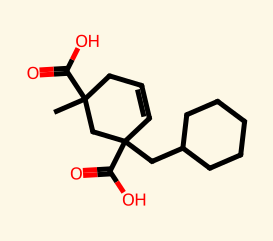 CC1(C(=O)O)CC=CC(CC2CCCCC2)(C(=O)O)C1